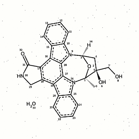 C[C@]12O[C@H](C[C@]1(O)CO)n1c3ccccc3c3c4c(c5c6ccccc6n2c5c31)CNC4=O.O